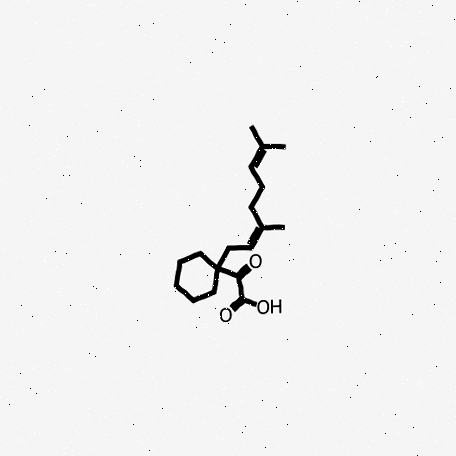 CC(C)=CCCC(C)=CCC1(C(=O)C(=O)O)CCCCC1